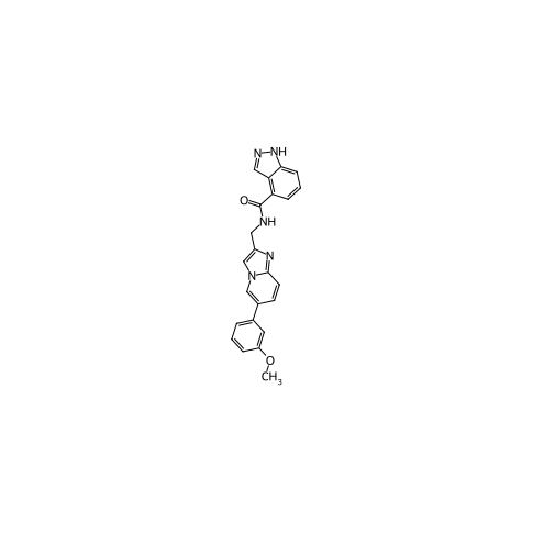 COc1cccc(-c2ccc3nc(CNC(=O)c4cccc5[nH]ncc45)cn3c2)c1